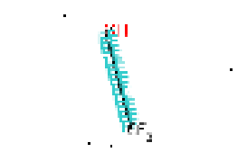 OCC(F)(F)C(F)(F)C(F)(F)C(F)(F)C(F)(F)C(F)(F)C(F)(F)C(F)(F)C(F)(F)C(F)(F)C(F)(F)C(F)(F)C(F)(F)C(F)(F)C(F)(F)C(F)(F)C(F)(F)C(F)(F)C(F)(F)C(F)(F)C(F)(F)F